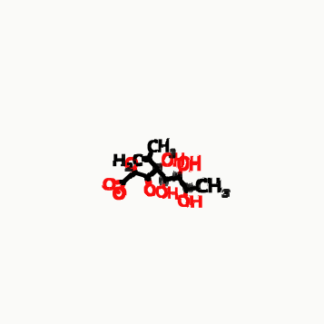 C=C(C)[C@](O)(C(=O)C(=O)C1OO1)[C@@H](O)[C@@H](O)[C@@H](C)O